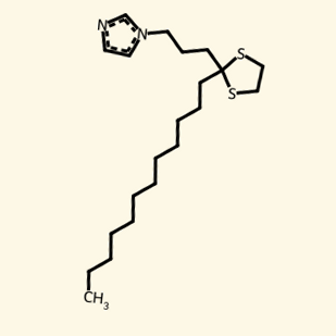 CCCCCCCCCCCCC1(CCCn2ccnc2)SCCS1